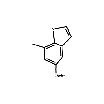 COc1cc(C)c2[nH]ccc2c1